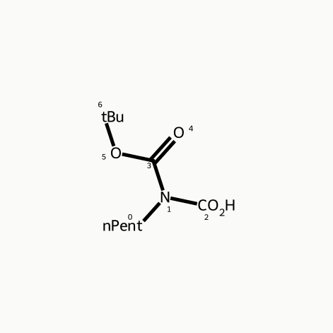 CCCCCN(C(=O)O)C(=O)OC(C)(C)C